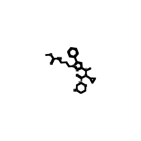 COC(=O)NCCCn1nc([C@@H](C)N(C(=O)[C@H]2CNCCO2)C2CC2)cc1-c1ccccc1